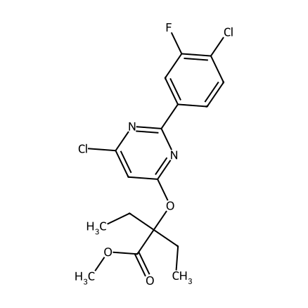 CCC(CC)(Oc1cc(Cl)nc(-c2ccc(Cl)c(F)c2)n1)C(=O)OC